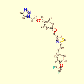 Cc1cc(OCc2csc(C=Cc3ccc(OC(F)F)cc3)n2)ccc1COCCn1ccnn1